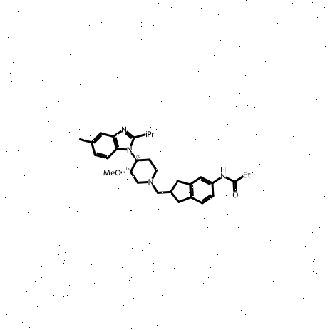 CCC(=O)Nc1ccc2c(c1)CC(CN1CC[C@H](n3c(C(C)C)nc4cc(C)ccc43)[C@@H](OC)C1)C2